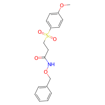 COc1ccc(S(=O)(=O)CCC(=O)NOCc2ccccc2)cc1